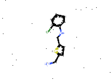 NCc1ccc(CNc2ccccc2Cl)s1